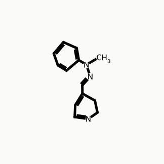 CN(/N=C/C1=CC=NCC1)c1ccccc1